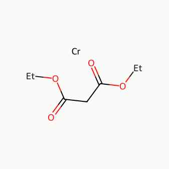 CCOC(=O)CC(=O)OCC.[Cr]